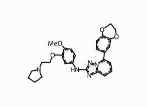 COc1ccc(Nc2nc3cccc(-c4ccc5c(c4)OCCO5)n3n2)cc1OCCN1CCCC1